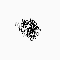 CC(=O)O[C@H]1C(=O)C2C([C@H](OC(=O)c3ccccc3)[C@]3(O)C[C@H](OC(=O)[C@H](O)[C@@H](NC(=O)c4ccccc4)c4ccccc4)C(C)=C1C3(C)C)[C@]1(OC(C)=O)CO[C@@H]1C[C@@H]2O